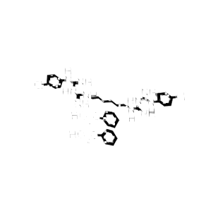 N=C(NCCCCCCNC(=N)NC(=N)Nc1ccc(Cl)cc1)NC(=N)Nc1ccc(Cl)cc1.O=C(O)c1ccccc1.O=C(O)c1ccccc1